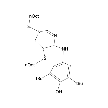 CCCCCCCCSN1C=NC(Nc2cc(C(C)(C)C)c(O)c(C(C)(C)C)c2)N(SCCCCCCCC)C1